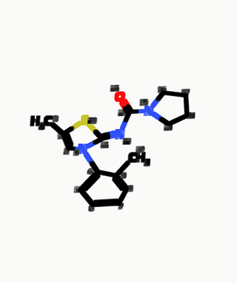 Cc1cn(-c2ccccc2C)c(=NC(=O)N2CCCC2)s1